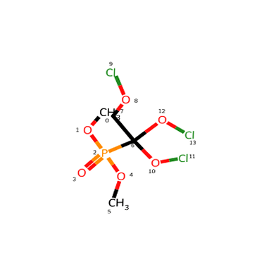 COP(=O)(OC)C(COCl)(OCl)OCl